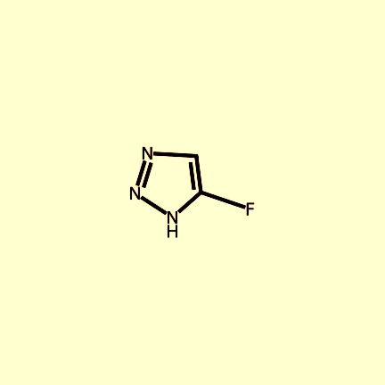 Fc1cnn[nH]1